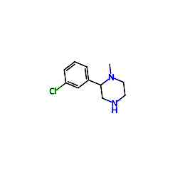 CN1CCNCC1c1cccc(Cl)c1